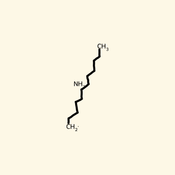 N.[CH2]CCCCCCCCCCC